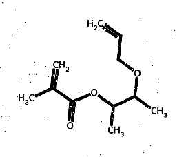 C=CCOC(C)C(C)OC(=O)C(=C)C